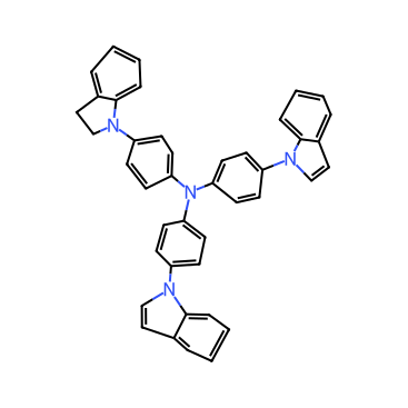 c1ccc2c(c1)CCN2c1ccc(N(c2ccc(-n3ccc4ccccc43)cc2)c2ccc(-n3ccc4ccccc43)cc2)cc1